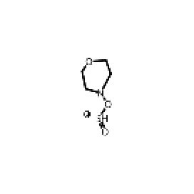 O=[SH](=O)ON1CCOCC1